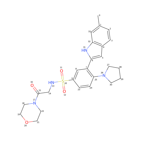 Cc1ccc2cc(-c3cc(S(=O)(=O)NCC(=O)N4CCOCC4)ccc3N3CCCC3)[nH]c2c1